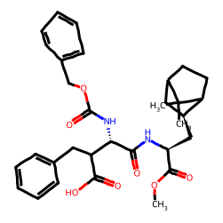 COC(=O)[C@H](C[C@H]1CC2CCC1C2(C)C)NC(=O)[C@@H](NC(=O)OCc1ccccc1)C(Cc1ccccc1)C(=O)O